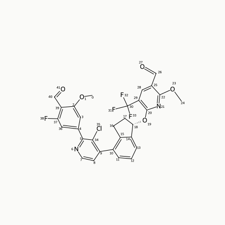 COc1cc(-c2nccc(-c3cccc4c3CC[C@@H]4Oc3nc(OC)c(C=O)cc3C(F)(F)F)c2Cl)cc(F)c1C=O